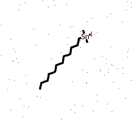 CCCCCCCCCCC[CH2][Sn]([CH3])([CH3])[I]